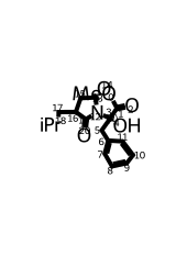 COC(=O)[C@](O)(Cc1ccccc1)N1C(=O)CC(CC(C)C)C1=O